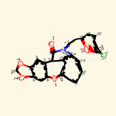 O=C1C2c3cc4c(cc3Oc3cccc(c32)N1Cc1ccc(Cl)o1)OCO4